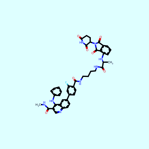 CNC(=O)c1cnc2ccc(-c3ccc(C(=O)NCCCCNC(=O)C(C)Nc4cccc5c4C(=O)N(C4CCC(=O)NC4=O)C5=O)c(F)c3)cc2c1Nc1ccccc1